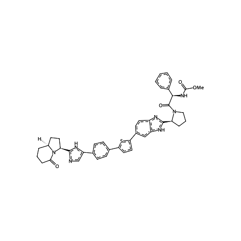 COC(=O)N[C@@H](C(=O)N1CCC[C@H]1c1nc2ccc(-c3ccc(-c4ccc(-c5cnc([C@@H]6CC[C@@H]7CCCC(=O)N76)[nH]5)cc4)s3)cc2[nH]1)c1ccccc1